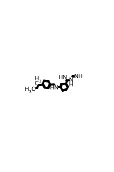 CCC(C)c1ccc(CNc2cccc(C(=N)NC=N)c2)cc1